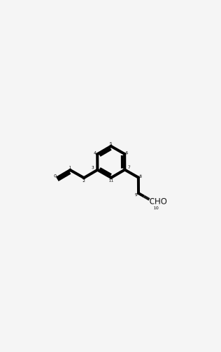 C=CCc1cccc(CCC=O)c1